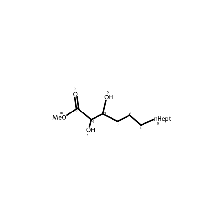 CCCCCCCCCCC(O)C(O)C(=O)OC